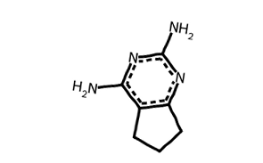 Nc1nc(N)c2c(n1)CCC2